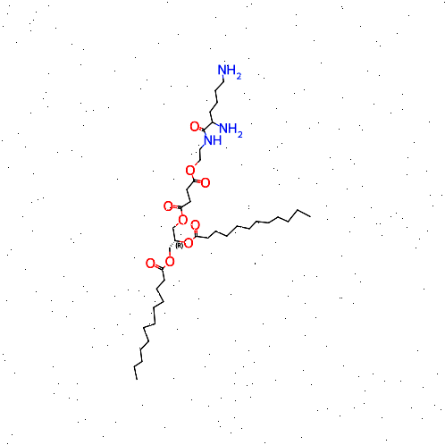 CCCCCCCCCCCC(=O)OC[C@H](COC(=O)CCC(=O)OCCNC(=O)C(N)CCCCN)OC(=O)CCCCCCCCCCC